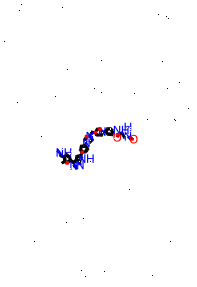 CNCc1ccc(-c2ncnc3[nH]c(-c4ccc(N5CCN(CC6CCN(c7ccc(NC(=O)CCNC=O)cc7)CC6)CC5)cc4)cc23)cc1C